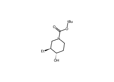 CC[C@H]1CN(C(=O)OC(C)(C)C)CC[C@@H]1O